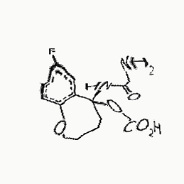 NC(=O)N[C@@]1(OC(=O)O)CCOc2ccc(F)cc21